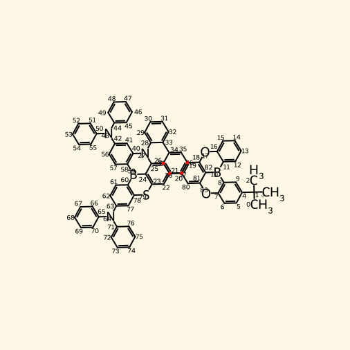 CC(C)(C)c1ccc2c(c1)B1c3ccccc3Oc3cc(-c4cc5c6c(c4)N(c4ccccc4-c4ccccc4)c4cc(N(c7ccccc7)c7ccccc7)ccc4B6c4ccc(N(c6ccccc6)c6ccccc6)cc4S5)cc(c31)O2